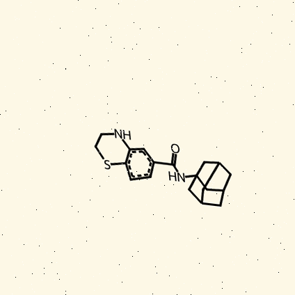 O=C(NC12CC3CC(CC(C3)C1)C2)c1ccc2c(c1)NCCS2